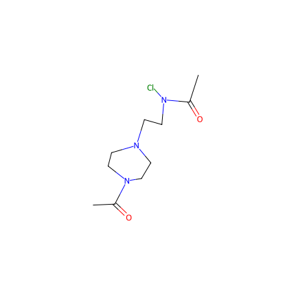 CC(=O)N(Cl)CCN1CCN(C(C)=O)CC1